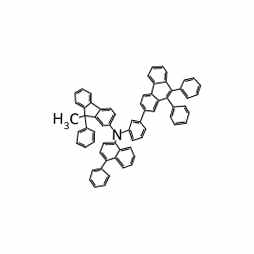 CC1(c2ccccc2)c2ccccc2-c2ccc(N(c3cccc(-c4ccc5c(c4)c(-c4ccccc4)c(-c4ccccc4)c4ccccc45)c3)c3ccc(-c4ccccc4)c4ccccc34)cc21